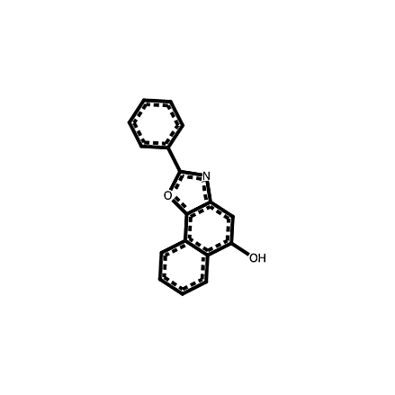 Oc1cc2nc(-c3ccccc3)oc2c2ccccc12